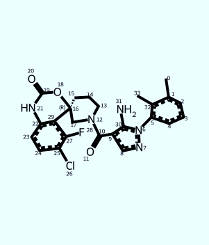 Cc1cccc(-n2ncc(C(=O)N3CCC[C@@]4(C3)OC(=O)Nc3ccc(Cl)c(F)c34)c2N)c1C